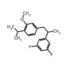 COc1cc(CC(C)c2cc(F)cc(F)c2)ccc1C(C)C